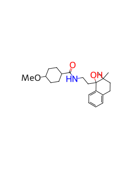 COC1CCC(C(=O)NCCC2(O)c3ccccc3CCC2(C)C)CC1